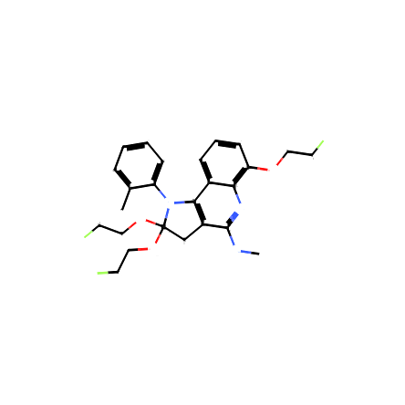 CNc1nc2c(OCCF)cccc2c2c1CC(OCCF)(OCCF)N2c1ccccc1C